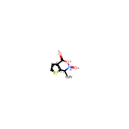 CCCC1c2sccc2C(=O)O[N+]1=O